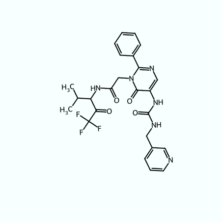 CC(C)C(NC(=O)Cn1c(-c2ccccc2)ncc(NC(=O)NCc2cccnc2)c1=O)C(=O)C(F)(F)F